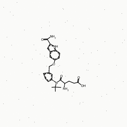 CC(C)(C)N(C(=O)C(N)CCC(=O)O)c1cccc(COc2ccc3[nH]c(C(N)=O)cc3c2)c1